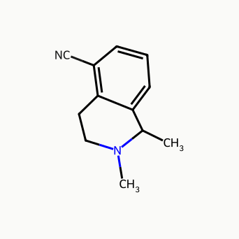 CC1c2cccc(C#N)c2CCN1C